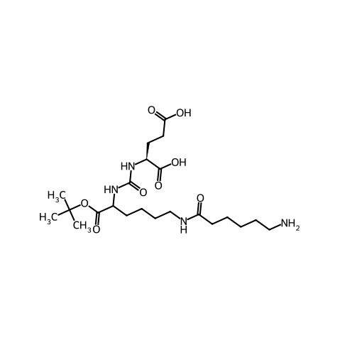 CC(C)(C)OC(=O)C(CCCCNC(=O)CCCCCN)NC(=O)N[C@@H](CCC(=O)O)C(=O)O